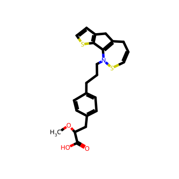 COC(Cc1ccc(CCCN2SC=CCC3=C2c2sccc2C3)cc1)C(=O)O